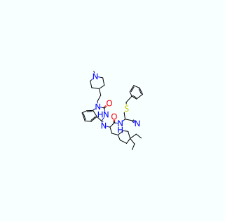 CCC1(CC)CCC(CC(N=c2[nH]c(=O)n(CCC3CCN(C)CC3)c3ccccc23)C(=O)NC(C#N)CSCc2ccccc2)CC1